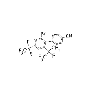 N#Cc1ccc(-c2c(Br)[c]c(C(F)(F)C(F)(F)F)cc2C(F)(C(F)(F)F)C(F)(F)F)cc1